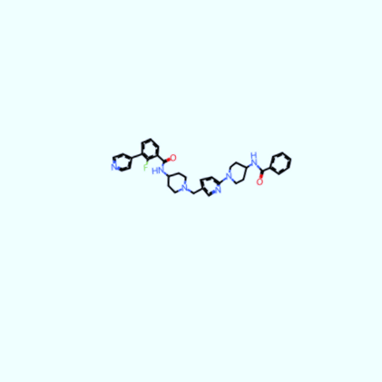 O=C(NC1CCN(c2ccc(CN3CCC(NC(=O)c4cccc(-c5ccncc5)c4F)CC3)cn2)CC1)c1ccccc1